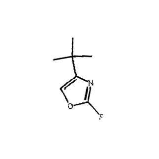 CC(C)(C)c1coc(F)n1